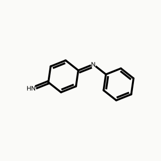 N=C1C=CC(=Nc2ccccc2)C=C1